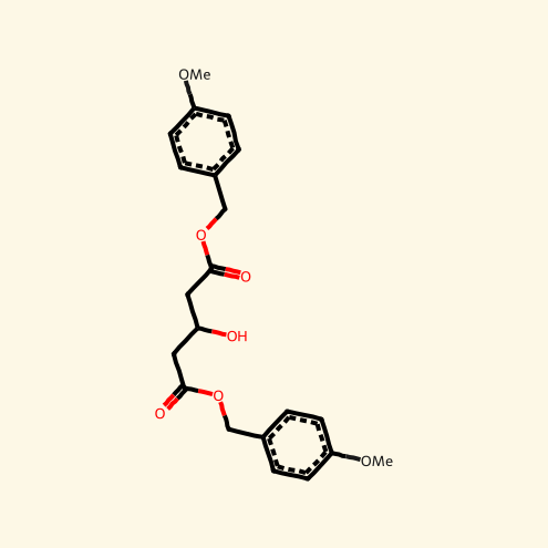 COc1ccc(COC(=O)CC(O)CC(=O)OCc2ccc(OC)cc2)cc1